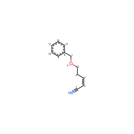 N#C/C=C\CCOCc1ccccc1